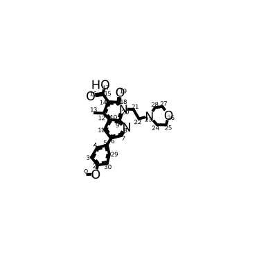 COc1ccc(-c2cnc3c(c2)c(C)c(C(=O)O)c(=O)n3CCN2CCOCC2)cc1